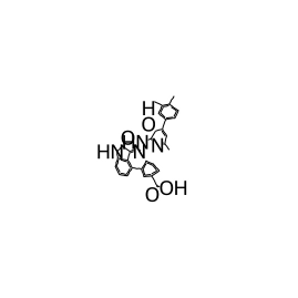 CC1=NC(NN=C2C(=O)Nc3cccc(-c4cccc(C(=O)O)c4)c32)C(O)C(c2ccc(C)c(C)c2)=C1